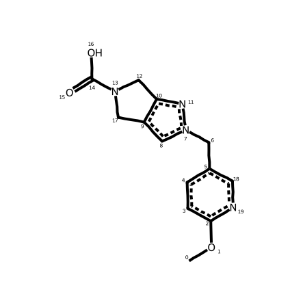 COc1ccc(Cn2cc3c(n2)CN(C(=O)O)C3)cn1